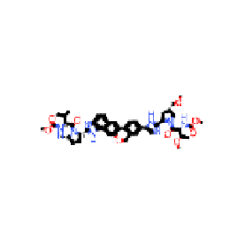 COC[C@H]1CC(c2ncc(-c3ccc4c(c3)COc3cc5c(ccc6nc([C@@H]7CC[C@H](C)N7C(=O)[C@@H](NC(=O)OC)C(C)C)[nH]c65)cc3-4)[nH]2)N(C(=O)[C@@H](NC(=O)OC)C(C)OC)C1